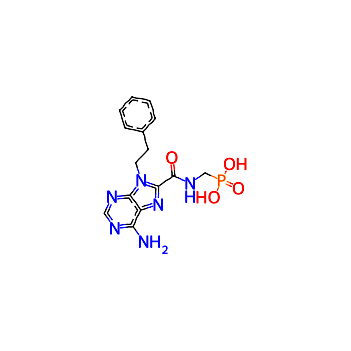 Nc1ncnc2c1nc(C(=O)NCP(=O)(O)O)n2CCc1ccccc1